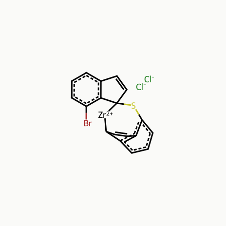 Brc1cccc2c1[C]1(C=C2)Sc2cccc3c2C=C[CH]3[Zr+2]1.[Cl-].[Cl-]